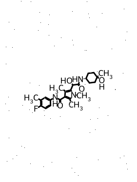 Cc1cc(NC(=O)c2c(C)c(C(O)C(=O)N[C@H]3CC[C@@](C)(O)CC3)n(C)c2C)ccc1F